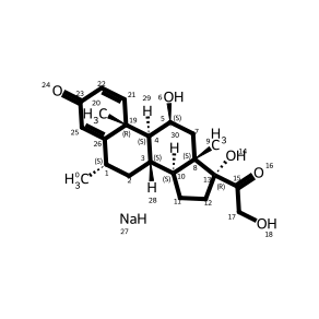 C[C@H]1C[C@@H]2[C@H]([C@@H](O)C[C@@]3(C)[C@H]2CC[C@]3(O)C(=O)CO)[C@@]2(C)C=CC(=O)C=C12.[NaH]